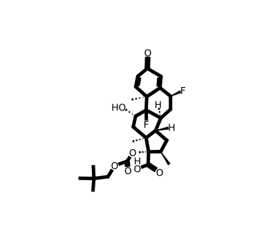 C[C@@H]1C[C@H]2[C@@H]3C[C@H](F)C4=CC(=O)C=C[C@]4(C)C3(F)[C@@H](O)C[C@]2(C)[C@]1(OC(=O)OCC(C)(C)C)C(=O)O